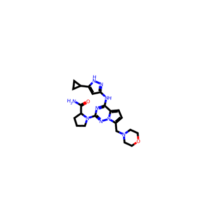 NC(=O)C1CCCN1c1nc(Nc2cc(C3CC3)[nH]n2)c2ccc(CN3CCOCC3)n2n1